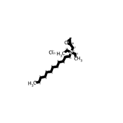 CCCCCCCCCCCC[N+](CC)(CC)CC1CO1.[Cl-]